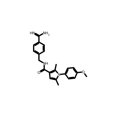 COc1ccc(-n2c(C)cc(C(=O)NCc3ccc(C(=N)N)cc3)c2C)cc1